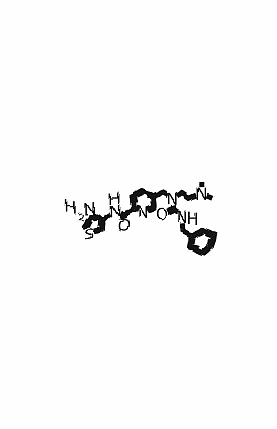 CN(C)CCN(Cc1ccc(C(=O)Nc2cscc2N)nc1)C(=O)NCc1ccccc1